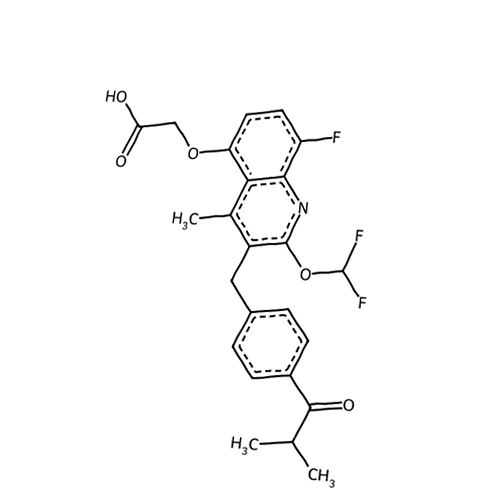 Cc1c(Cc2ccc(C(=O)C(C)C)cc2)c(OC(F)F)nc2c(F)ccc(OCC(=O)O)c12